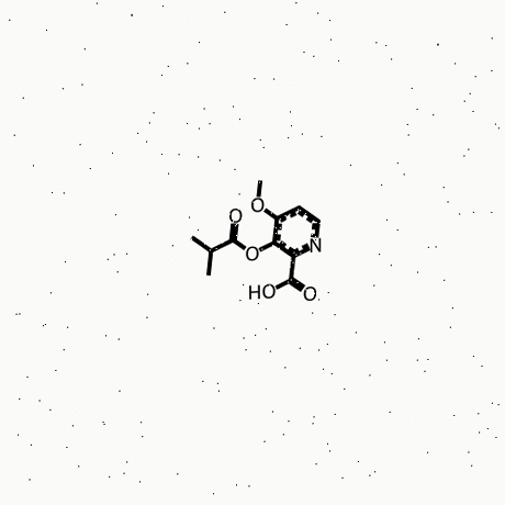 COc1ccnc(C(=O)O)c1OC(=O)C(C)C